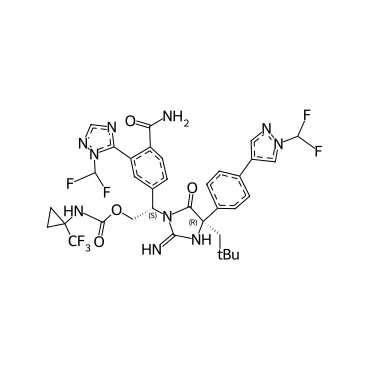 CC(C)(C)C[C@]1(c2ccc(-c3cnn(C(F)F)c3)cc2)NC(=N)N([C@H](COC(=O)NC2(C(F)(F)F)CC2)c2ccc(C(N)=O)c(-c3ncnn3C(F)F)c2)C1=O